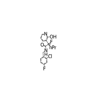 CCC[C@@](F)(C(=O)NCc1ccc(F)cc1Cl)c1cccnc1O